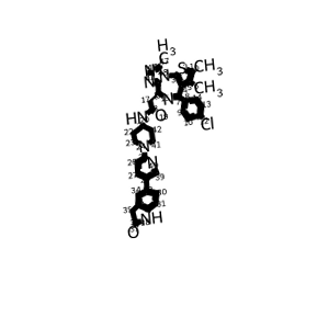 Cc1sc2c(c1C)C(c1ccc(Cl)cc1)=N[C@@H](CC(=O)NC1CCN(c3ccc(-c4ccc5c(c4)CC(=O)N5)cn3)CC1)c1nnc(C)n1-2